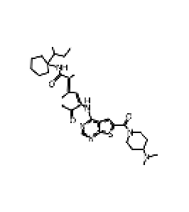 CCC(C)C1(NC(=O)/C(C)=C(C)/C=C(/Nc2ncnc3sc(C(=O)N4CCC(N(C)C)CC4)cc23)C(C)=O)CCCCC1